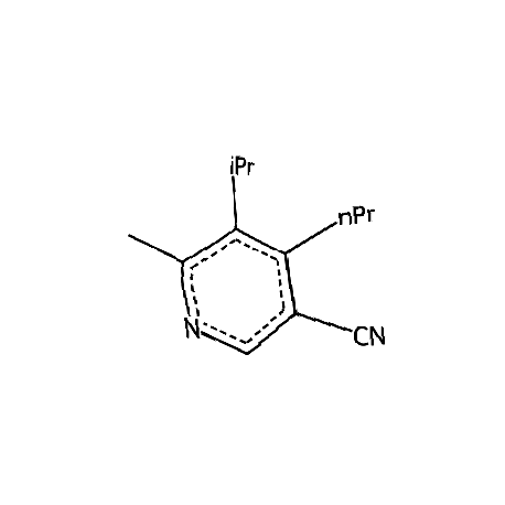 CCCc1c(C#N)cnc(C)c1C(C)C